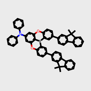 CC1(C)c2ccccc2-c2ccc(-c3ccc4c(c3)B3c5cc(-c6ccc7c(c6)C(C)(C)c6ccccc6-7)ccc5Oc5cc(N(c6ccccc6)c6ccccc6)cc(c53)O4)cc21